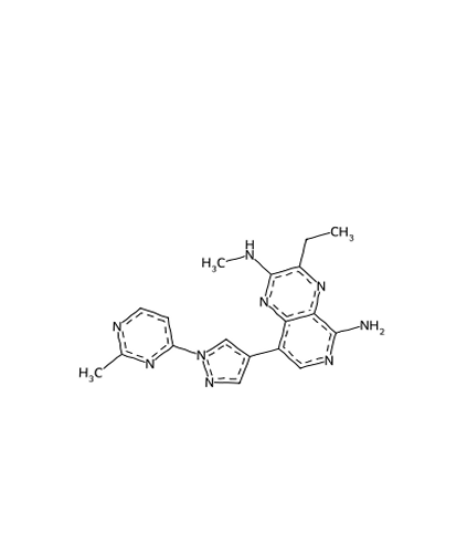 CCc1nc2c(N)ncc(-c3cnn(-c4ccnc(C)n4)c3)c2nc1NC